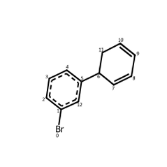 Brc1cccc(C2C=CC=CC2)c1